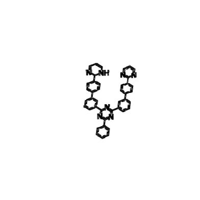 C1=CNC(c2ccc(-c3cccc(-c4nc(-c5ccccc5)nc(-c5cccc(-c6ccc(-c7ncccn7)cc6)c5)n4)c3)cc2)N=C1